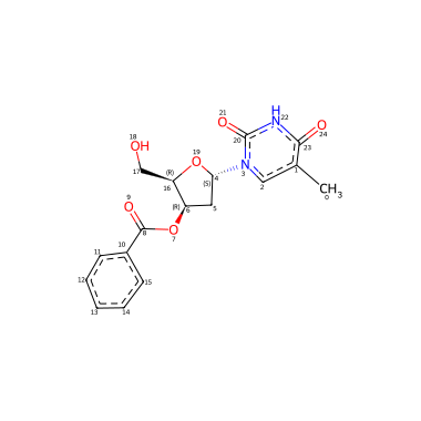 Cc1cn([C@@H]2C[C@@H](OC(=O)c3ccccc3)[C@@H](CO)O2)c(=O)[nH]c1=O